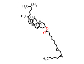 CCCCCC1CC1CC1CC1CCCCCCCC(=O)OC1CC[C@@]2(C)C(=CC[C@H]3[C@H]4CC[C@H]([C@H](C)CCCC(C)C)[C@@]4(C)CC[C@H]32)C1